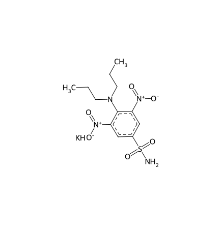 CCCN(CCC)c1c([N+](=O)[O-])cc(S(N)(=O)=O)cc1[N+](=O)[O-].[KH]